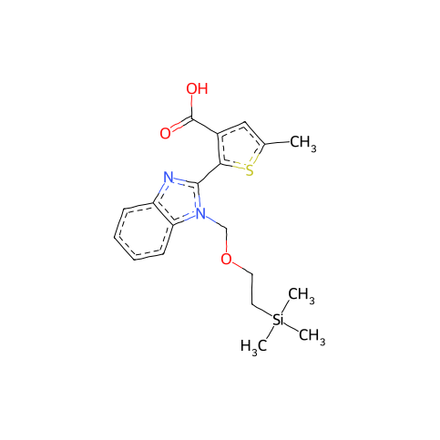 Cc1cc(C(=O)O)c(-c2nc3ccccc3n2COCC[Si](C)(C)C)s1